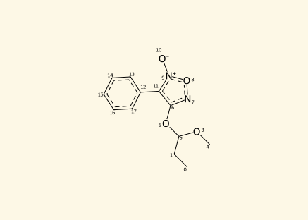 CCC(OC)Oc1no[n+]([O-])c1-c1ccccc1